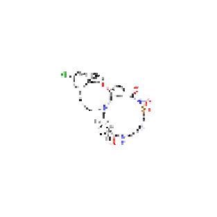 CC12C=CC(Cl)=CC1CCCCN1C[C@@H]3CC[C@H]3C(=O)NC/C=C\CS(=O)(=O)NC(=O)c3ccc(c1c3)OC2